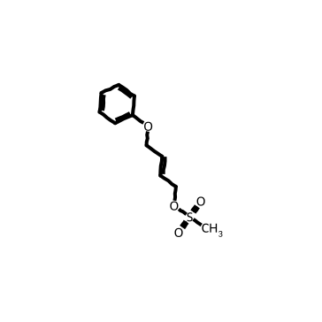 CS(=O)(=O)OCC=CCOc1ccccc1